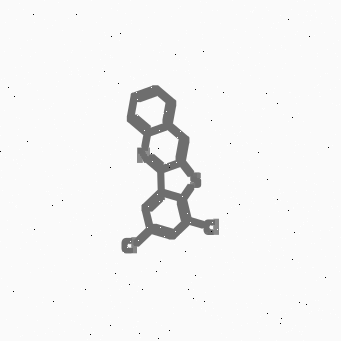 Clc1cc(Cl)c2sc3cc4ccccc4nc3c2c1